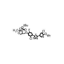 CC(C)Oc1ncc(-c2nnc(-c3cc(F)c(OC[C@H]4COC(C)(C)N4C(=O)OC(C)(C)C)cc3Cl)s2)cc1Cl